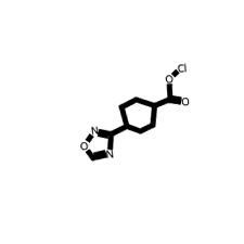 O=C(OCl)C1CCC(c2ncon2)CC1